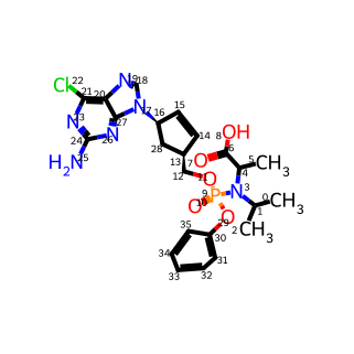 CC(C)N(C(C)C(=O)O)P(=O)(OC[C@@H]1C=C[C@H](n2cnc3c(Cl)nc(N)nc32)C1)Oc1ccccc1